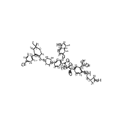 CC1(C)CCC(CN2CCN(c3ccc(C(=O)NS(=O)(=O)c4ccc(NCC5CNC5)c([N+](=O)[O-])c4)c(Oc4cnc5[nH]ccc5c4)c3)CC2)=C(c2ccc(Cl)cc2)C1